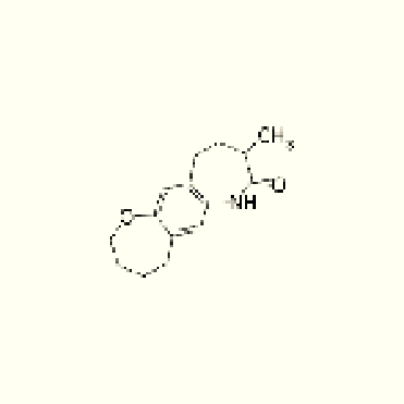 CC1CCc2cc3c(cc2NC1=O)CCCCO3